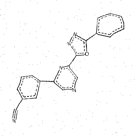 N#Cc1cccc(-c2cncc(-c3nnc(-c4ccccc4)o3)n2)c1